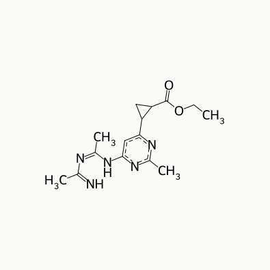 CCOC(=O)C1CC1c1cc(N/C(C)=N\C(C)=N)nc(C)n1